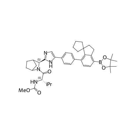 COC(=O)N[C@H](C(=O)N1C2CCC(C2)[C@H]1c1ncc(-c2ccc(-c3ccc(B4OC(C)(C)C(C)(C)O4)c4c3C3(CCCC3)CC4)cc2)[nH]1)C(C)C